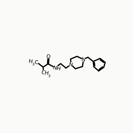 CC(C)C(=O)NCCN1CCN(Cc2ccccc2)CC1